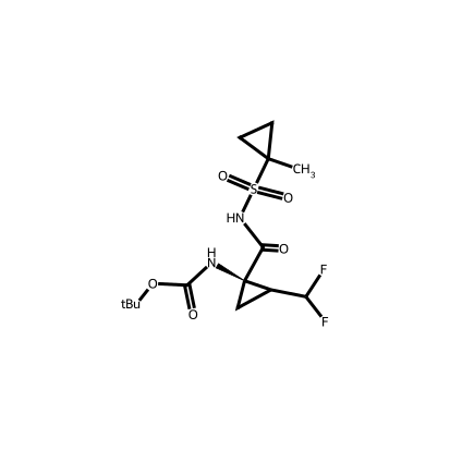 CC(C)(C)OC(=O)N[C@]1(C(=O)NS(=O)(=O)C2(C)CC2)CC1C(F)F